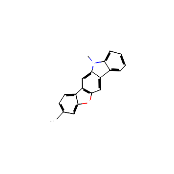 CCCCc1ccc2c(c1)oc1cc3c4ccccc4n(C)c3cc12